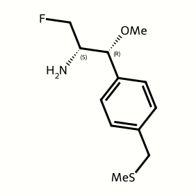 CO[C@H](c1ccc(CSC)cc1)[C@H](N)CF